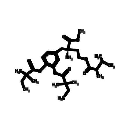 CCC(C)(C)C(=O)Oc1ccc(C[C@](N)(CCOC(=O)C(C)C(C)C)C(=O)OC)cc1OC(=O)C(C)(C)CC